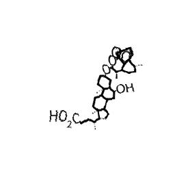 C[C@H]1C(O[C@@H]2CC[C@]3(C)C4CC[C@@]5(C)C(CC[C@@H]5[C@H](C)CCC(=O)O)C4C[C@H](O)C3C2)OC2O[C@@]3(C)CCC4[C@H](C)CCC1C24O3